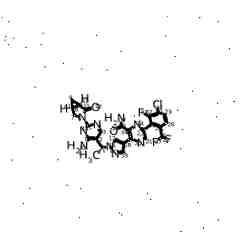 C[C@H](c1cnc(N2C[C@H]3C[C@H]3C2=O)nc1N)n1cc(-c2ncc(-c3c(C(F)F)ccc(Cl)c3F)nc2C(N)=O)cn1